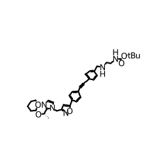 C[C@H](OC1CCCCO1)c1nccn1Cc1cc(-c2ccc(C#Cc3ccc(CNCCNC(=O)OC(C)(C)C)cc3)cc2)on1